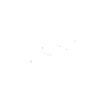 CC(C)NC=CNC(C)C